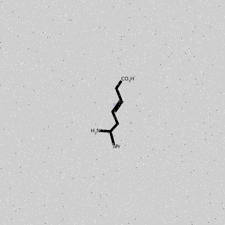 CCCC(N)C/C=C/CC(=O)O